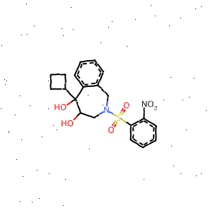 O=[N+]([O-])c1ccccc1S(=O)(=O)N1Cc2ccccc2C(O)(C2CCC2)C(O)C1